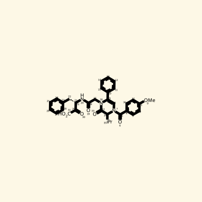 COc1ccc(C(=O)N2C=C(c3ccccc3)N(CC(=O)N[C@@H](Cc3ccccc3)C(=O)C(=O)O)C(=O)C2C(C)C)cc1